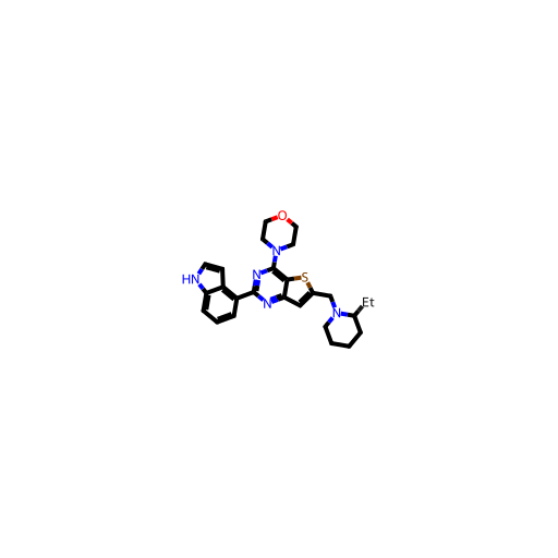 CCC1CCCCN1Cc1cc2nc(-c3cccc4[nH]ccc34)nc(N3CCOCC3)c2s1